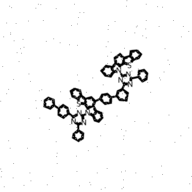 c1ccc(-c2ccc(-c3nc(-c4ccccc4)nc(-n4c5ccccc5c5c(-c6ccc(-c7cccc(-c8nc(-c9ccccc9)nc(-n9c%10ccccc%10c%10ccc%11c%12ccccc%12sc%11c%109)n8)c7)cc6)cc6c7ccccc7sc6c54)n3)cc2)cc1